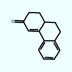 O=C1C=C2c3ccccc3CCC2CC1